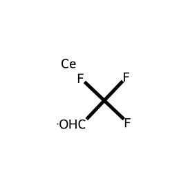 O=[C]C(F)(F)F.[Ce]